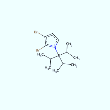 CC(C)[Si](C(C)C)(C(C)C)n1ccc(Br)c1Br